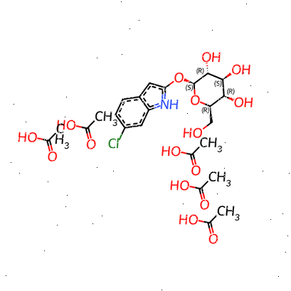 CC(=O)O.CC(=O)O.CC(=O)O.CC(=O)O.CC(=O)O.OC[C@H]1O[C@@H](Oc2cc3ccc(Cl)cc3[nH]2)[C@H](O)[C@@H](O)[C@H]1O